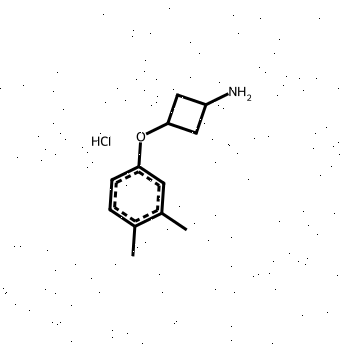 Cc1ccc(OC2CC(N)C2)cc1C.Cl